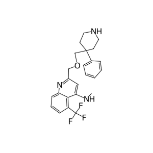 CNc1cc(COCC2(c3ccccc3)CCNCC2)nc2cccc(C(F)(F)F)c12